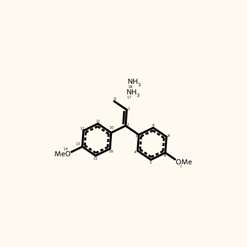 CC=C(c1ccc(OC)cc1)c1ccc(OC)cc1.N.N